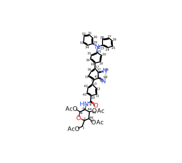 CC(=O)OCC1OC(OC(C)=O)C(NC(=O)c2ccc(-c3ccc(-c4ccc(N(c5ccccc5)c5ccccc5)cc4)c4nsnc34)cc2)C(OC(C)=O)C1OC(C)=O